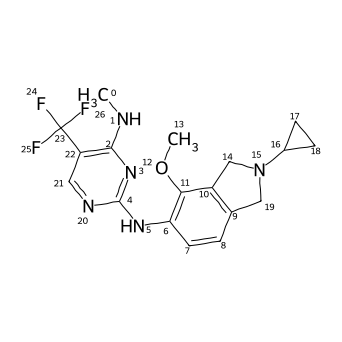 CNc1nc(Nc2ccc3c(c2OC)CN(C2CC2)C3)ncc1C(F)(F)F